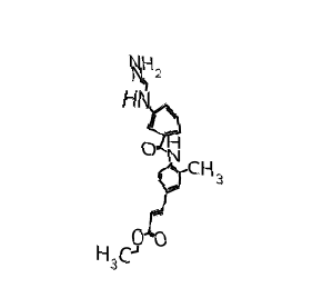 CCOC(=O)C=Cc1ccc(NC(=O)c2cccc(NC=NN)c2)c(C)c1